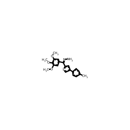 COc1cc(C(=NN)c2cc(-c3ccc(C)cc3)cs2)cc(OC)c1OC